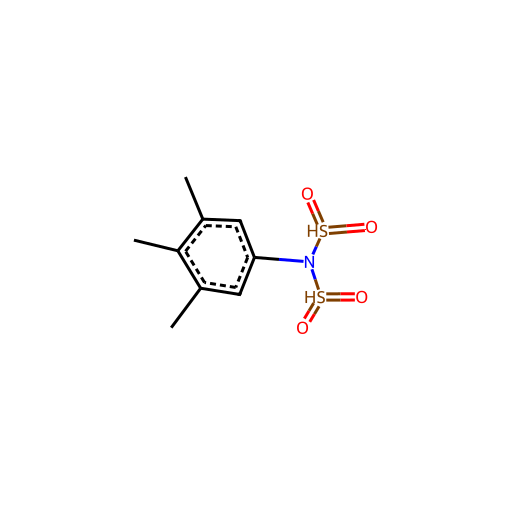 Cc1cc(N([SH](=O)=O)[SH](=O)=O)cc(C)c1C